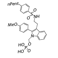 CCCCCc1ccc(S(=O)(=O)NCCc2c(-c3ccc(OC)cc3)n(COP(=O)(O)O)c3ccccc23)cc1